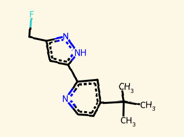 CC(C)(C)c1ccnc(-c2cc(CF)n[nH]2)c1